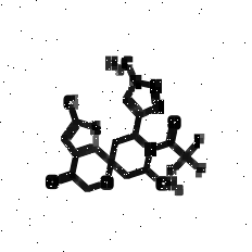 CC1CC2(CC(c3cn(C)nn3)N1C(=O)C(F)(F)F)OCC(=O)c1cc(Cl)sc12